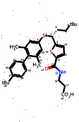 Cc1cc(S[C@H](CCC(C)(C)C)c2ccc(C(=O)NCCC(=O)O)s2)cc(C)c1-c1ccc(C(C)(C)C)cc1